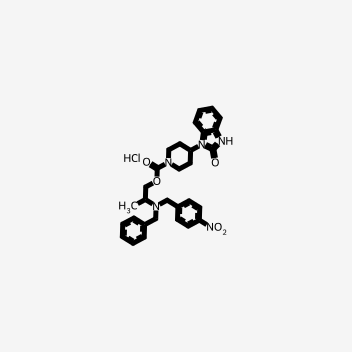 CC(COC(=O)N1CCC(n2c(=O)[nH]c3ccccc32)CC1)N(Cc1ccccc1)Cc1ccc([N+](=O)[O-])cc1.Cl